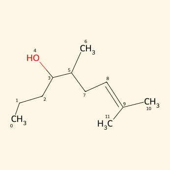 CCCC(O)C(C)CC=C(C)C